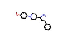 COc1ccc(N2CCC(C(N)CCc3ccccc3)CC2)cc1